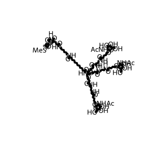 CSC[C@H]1O[C@@H](n2cc(CCC(=O)NCCCCCCNC(=O)CCCCCCCCCCC(=O)NC(COCCC(=O)NCCCNCC(=O)CCCCO[C@@H]3OC(CO)[C@H](O)C(O)C3NC(C)=O)(COCCC(=O)NCCCNC(=O)CCCCO[C@@H]3OC(CO)[C@H](O)C(O)C3NC(C)=O)COCCC(=O)NCCCNC(=O)CCCCO[C@@H]3OC(CO)[C@H](O)C(O)C3NC(C)=O)c(=O)[nH]c2=O)C[C@@H]1C